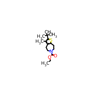 CCOC(=O)N1CCc2sc(C(C)(C)C)c(C)c2CC1